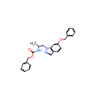 CC(Cn1ncc2ccc(OCc3ccccc3)cc21)NC(=O)OCc1ccccc1